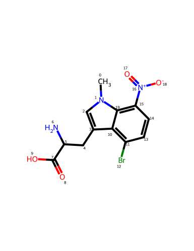 Cn1cc(CC(N)C(=O)O)c2c(Br)ccc([N+](=O)[O-])c21